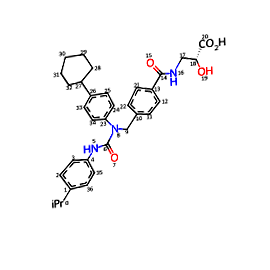 CC(C)c1ccc(NC(=O)N(Cc2ccc(C(=O)NC[C@@H](O)C(=O)O)cc2)c2ccc(C3CCCCC3)cc2)cc1